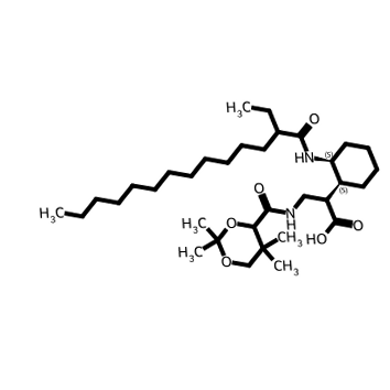 CCCCCCCCCCCCC(CC)C(=O)N[C@H]1CCCC[C@H]1C(CNC(=O)C1OC(C)(C)OCC1(C)C)C(=O)O